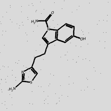 NC(=O)n1cc(C[CH]c2csc(N)n2)c2cc(O)ccc21